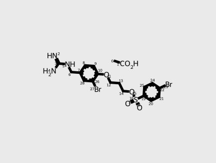 CC(=O)O.N=C(N)NCc1ccc(OCCCOS(=O)(=O)c2ccc(Br)cc2)c(Br)c1